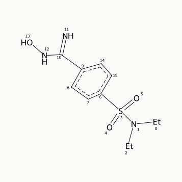 CCN(CC)S(=O)(=O)c1ccc(C(=N)NO)cc1